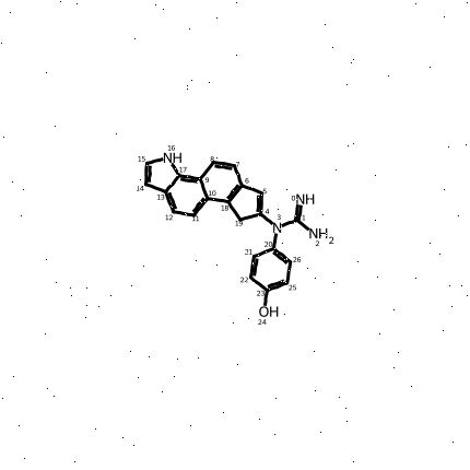 N=C(N)N(C1=Cc2ccc3c(ccc4cc[nH]c43)c2C1)c1ccc(O)cc1